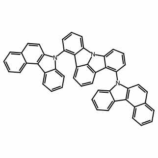 c1ccc2c(c1)ccc1c2c2ccccc2n1-c1cccc2c1c1cccc3c4c(-n5c6ccccc6c6c7ccccc7ccc65)cccc4n2c13